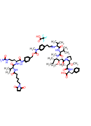 CC[C@H](C)[C@@H]([C@@H](CC(=O)N1CCC[C@H]1[C@H](OC)[C@@H](C)C(=O)N[C@@H](Cc1ccccc1)C(=O)O)OC)N(C)C(=O)[C@@H](NC(=O)[C@@H](NCCCc1ccc(N(C)C(=O)OCc2ccc(NC(=O)[C@H](CCCNC(N)=O)NC(=O)[C@@H](NC(=O)CCCCCN3C(=O)C=CC3=O)C(C)C)cc2)cc1)C(C)C)C(C)C.O=C(O)C(F)(F)F